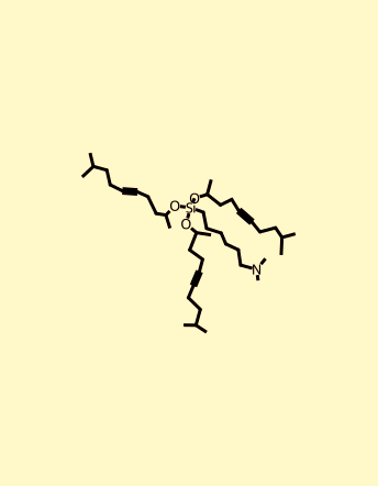 CC(C)CCC#CCCC(C)O[Si](CCCCCCN(C)C)(OC(C)CCC#CCCC(C)C)OC(C)CCC#CCCC(C)C